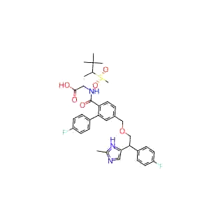 Cc1ncc(C(COCc2ccc(C(=O)N[C@@H](CC(C(C)(C)C)S(C)(=O)=O)C(=O)O)c(-c3ccc(F)cc3)c2)c2ccc(F)cc2)[nH]1